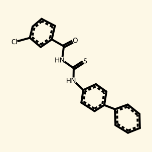 O=C(NC(=S)Nc1ccc(-c2ccccc2)cc1)c1cccc(Cl)c1